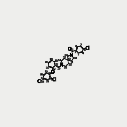 O=C(c1ccc(Cl)cc1)N1CCC2(CCN(Cc3ccccc3Oc3ccc(Cl)cc3Cl)CC2)C1